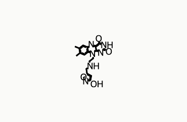 Cc1cc2nc3c(=O)[nH]c(=O)nc-3n(CCNCc3cc(O)no3)c2cc1C